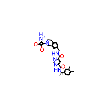 Cc1ccc([C@H](C)NC(=O)c2cc(C(=O)NCc3ccc4c(c3)CN(c3c(N)c(=O)c3=O)CC4)ncn2)cc1C